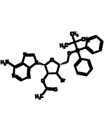 CC(=O)OC1C(Br)[C@@H](CO[Si](c2ccccc2)(c2ccccc2)C(C)(C)C)O[C@H]1n1cnc2c(N)ncnc21